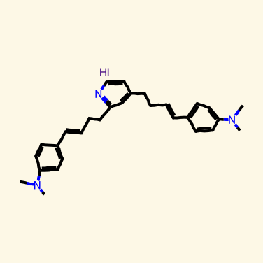 CN(C)c1ccc(C=CCCc2ccnc(CCC=Cc3ccc(N(C)C)cc3)c2)cc1.I